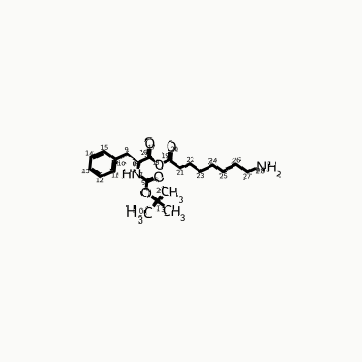 CC(C)(C)OC(=O)N[C@@H](Cc1ccccc1)C(=O)OC(=O)CCCCCCCN